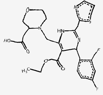 CCOC(=O)C1=C(CN2CCOCC2C(=O)O)NC(c2nccs2)=NC1c1ccc(F)cc1F